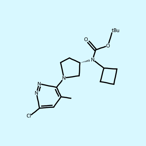 Cc1cc(Cl)nnc1N1CC[C@H](N(C(=O)OC(C)(C)C)C2CCC2)C1